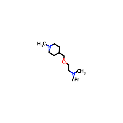 CCCN(C)CCOCC1CCN(C)CC1